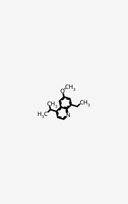 CCc1cc(OC)cc2c(C(C)C)ccnc12